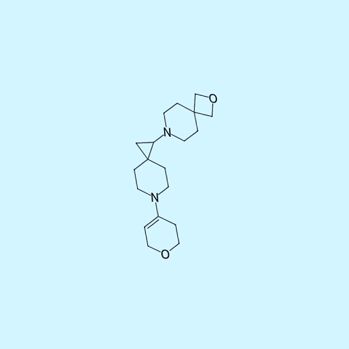 C1=C(N2CCC3(CC2)CC3N2CCC3(CC2)COC3)CCOC1